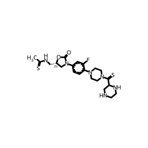 CC(=S)NC[C@H]1CN(c2ccc(N3CCN(C(=S)C4CNCCN4)CC3)c(F)c2)C(=O)O1